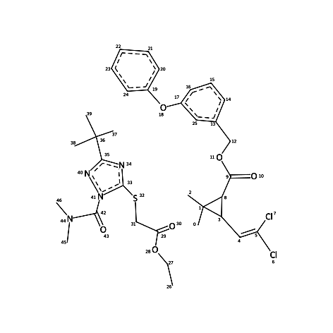 CC1(C)C(C=C(Cl)Cl)C1C(=O)OCc1cccc(Oc2ccccc2)c1.CCOC(=O)CSc1nc(C(C)(C)C)nn1C(=O)N(C)C